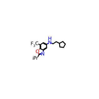 CC(C)c1nc2cc(NCCC3CCCC3)cc(C(F)(F)F)c2o1